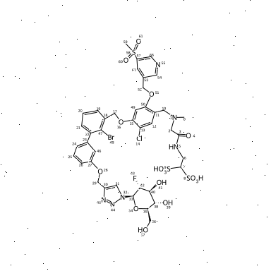 CN(CC(=O)NCC(S(=O)(=O)O)S(=O)(=O)O)Cc1cc(Cl)c(OCc2cccc(-c3cccc(OCc4cn([C@@H]5O[C@H](CO)[C@@H](O)[C@H](O)[C@H]5F)nn4)c3)c2Br)cc1OCc1cncc(S(C)(=O)=O)c1